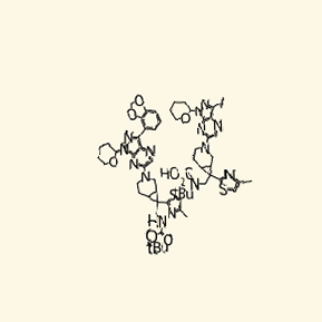 Cc1csc(C2(CN(C(=O)O)C(C)(C)C)C3CCN(c4cnc5c(I)nn(C6CCCCO6)c5n4)CC32)n1.Cc1csc(C2(CNC(=O)OC(C)(C)C)C3CCN(c4cnc5c(-c6cccc7c6OCO7)nn(C6CCCCO6)c5n4)CC32)n1